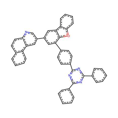 c1ccc(-c2nc(-c3ccccc3)nc(-c3ccc(-c4cc(-c5cnc6ccc7ccccc7c6c5)cc5c4oc4ccccc45)cc3)n2)cc1